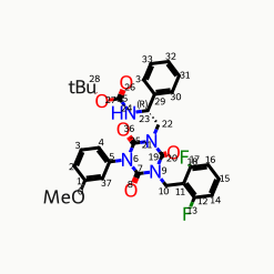 COc1cccc(-n2c(=O)n(Cc3c(F)cccc3F)c(=O)n(C[C@H](NC(=O)OC(C)(C)C)c3ccccc3)c2=O)c1